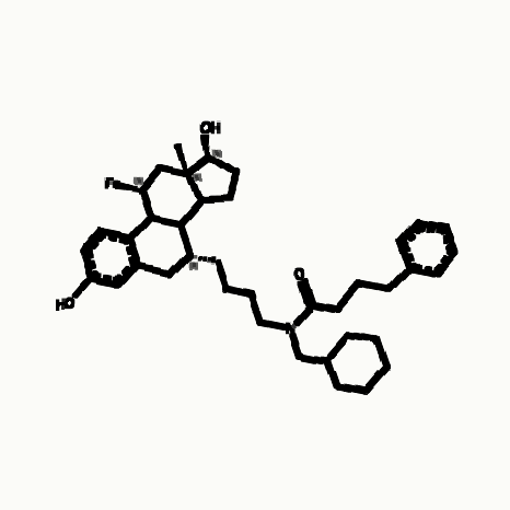 C[C@]12C[C@H](F)C3c4ccc(O)cc4C[C@@H](CCCCN(CC4CCCCC4)C(=O)CCCc4ccccc4)C3C1CC[C@@H]2O